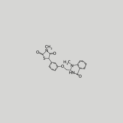 CN1C(=O)SC(c2cccc(OCC3NC(=O)c4ccccc4N3C)c2)C1=O